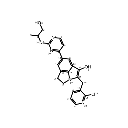 CC(CO)Nc1nccc(-c2cc3c4c(c2)c(O)c(Cc2cccnc2Cl)n4CC3)n1